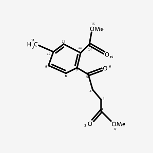 COC(=O)CCC(=O)c1ccc(C)cc1C(=O)OC